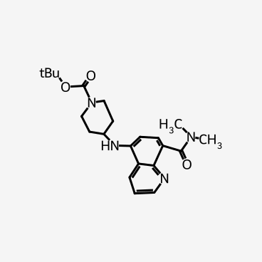 CN(C)C(=O)c1ccc(NC2CCN(C(=O)OC(C)(C)C)CC2)c2cccnc12